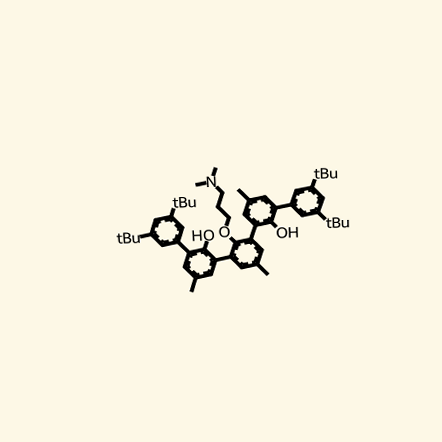 Cc1cc(-c2cc(C(C)(C)C)cc(C(C)(C)C)c2)c(O)c(-c2cc(C)cc(-c3cc(C)cc(-c4cc(C(C)(C)C)cc(C(C)(C)C)c4)c3O)c2OCCCN(C)C)c1